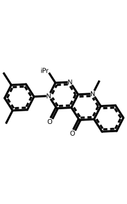 Cc1cc(C)cc(-n2c(C(C)C)nc3c(c(=O)c4ccccc4n3C)c2=O)c1